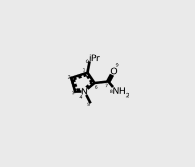 CC(C)c1ccn(C)c1C(N)=O